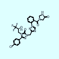 O=C1CN(C(=O)c2ccccc2-n2cnc(Cn3nc(-c4ccc(Cl)cc4)n(C[C@H](O)C(F)(F)F)c3=O)n2)CN1